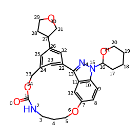 O=C1NCCCOc2ccc3c(c2)c(nn3C2CCCCO2)-c2cc(cc(C3CCOC3)c2)CO1